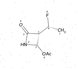 CC(=O)OC1NC(=O)[C@@H]1[C@@H](C)F